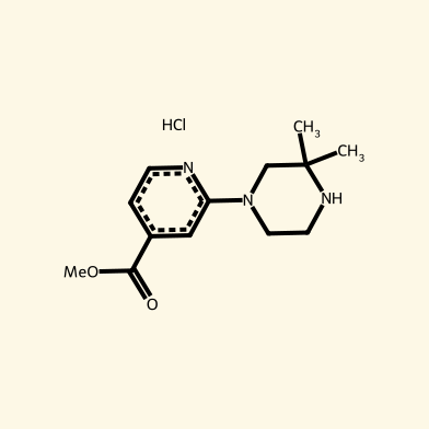 COC(=O)c1ccnc(N2CCNC(C)(C)C2)c1.Cl